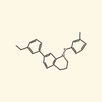 CCc1cccc(-c2ccc3c(c2)N(Sc2cccc(C)c2)CCC3)c1